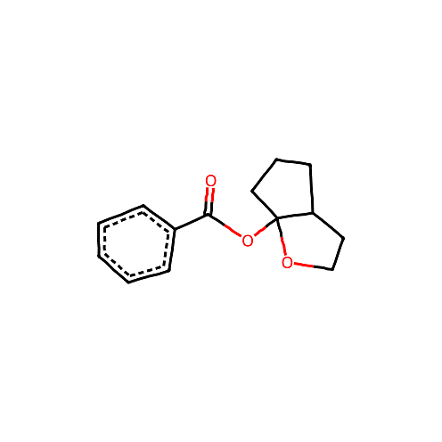 O=C(OC12CCCC1CCO2)c1ccccc1